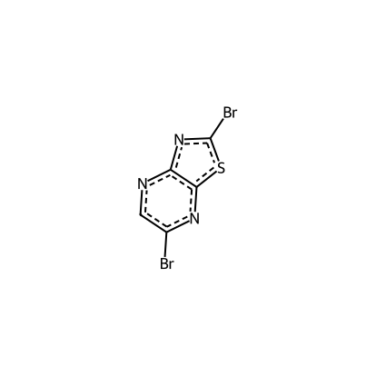 Brc1cnc2nc(Br)sc2n1